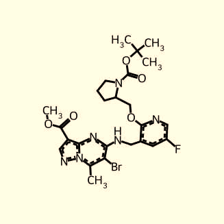 COC(=O)c1cnn2c(C)c(Br)c(NCc3cc(F)cnc3OCC3CCCN3C(=O)OC(C)(C)C)nc12